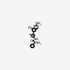 CCc1cc(-c2cc(NC(=O)[C@H](N)c3ccccc3)nn2C)cc2cnc(N)nc12